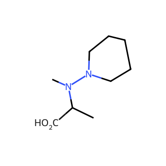 CC(C(=O)O)N(C)N1CCCCC1